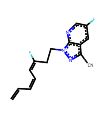 C=C/C=C\C=C(\F)CCn1nc(C#N)c2cc(F)cnc21